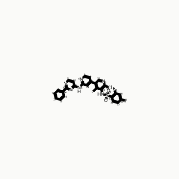 Cc1c(-c2ccnc(Nc3ccnc(-c4ccccc4)n3)c2)cnc(Cl)c1NS(=O)(=O)c1ccc(F)cc1F